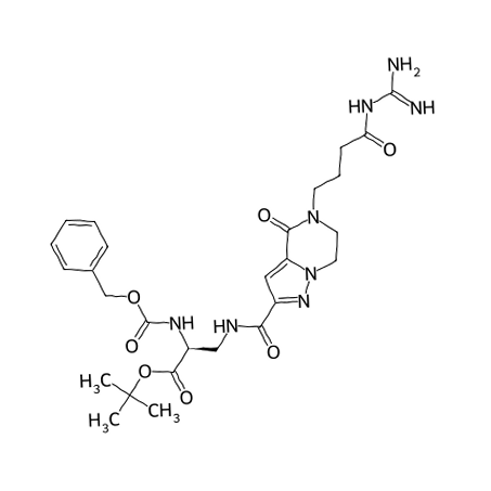 CC(C)(C)OC(=O)[C@H](CNC(=O)c1cc2n(n1)CCN(CCCC(=O)NC(=N)N)C2=O)NC(=O)OCc1ccccc1